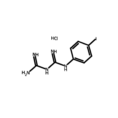 Cl.N=C(N)NC(=N)Nc1ccc(I)cc1